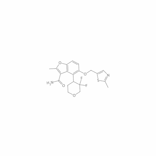 Cc1ncc(COc2ccc3oc(C)c(C(N)=O)c3c2C2CCOCC2(F)F)s1